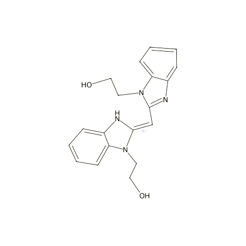 OCCN1/C(=C/c2nc3ccccc3n2CCO)Nc2ccccc21